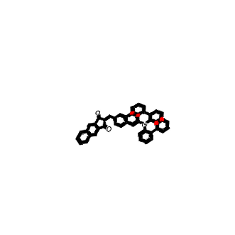 O=C1C(=Cc2ccc3cc(N(c4ccccc4-c4ccccc4)c4ccccc4-c4ccccc4)ccc3c2)C(=O)c2cc3ccccc3cc21